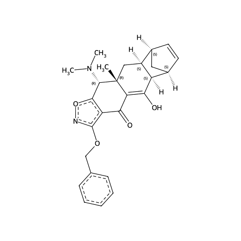 CN(C)[C@H]1c2onc(OCc3ccccc3)c2C(=O)C2=C(O)[C@H]3[C@@H](C[C@]21C)[C@H]1C=C[C@@H]3C1